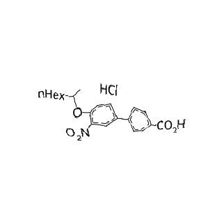 CCCCCCC(C)Oc1ccc(-c2ccc(C(=O)O)cc2)cc1[N+](=O)[O-].Cl